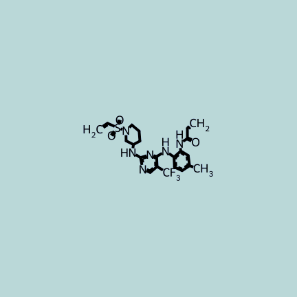 C=CC(=O)Nc1cc(C)ccc1Nc1nc(NC2CCCN(S(=O)(=O)C=C)C2)ncc1C(F)(F)F